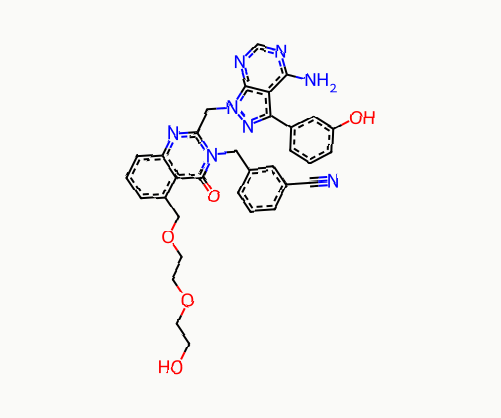 N#Cc1cccc(Cn2c(Cn3nc(-c4cccc(O)c4)c4c(N)ncnc43)nc3cccc(COCCOCCO)c3c2=O)c1